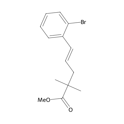 COC(=O)C(C)(C)C/C=C/c1ccccc1Br